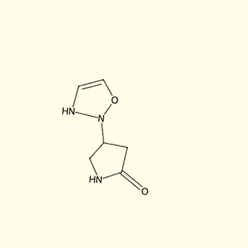 O=C1CC(N2NC=CO2)CN1